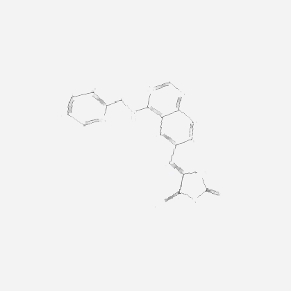 O=C1NC(=O)/C(=C/c2ccc3ncnc(NCc4ccccn4)c3c2)S1